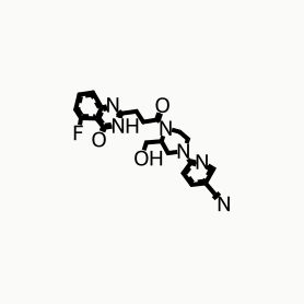 N#Cc1ccc(N2CCN(C(=O)CCc3nc4cccc(F)c4c(=O)[nH]3)C(CO)C2)nc1